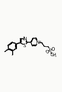 Cc1ccc(-c2cnc(-c3cc[n+](CCCS(=O)(=O)O)cc3)s2)cc1C